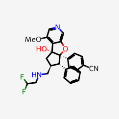 COc1cncc2c1[C@]1(O)C[C@H](CNCC(F)F)[C@@H](c3ccccc3)[C@]1(c1ccc(C#N)cc1)O2